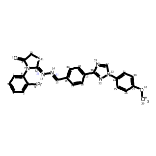 CC(C)c1ccccc1N1C(=O)CS/C1=N\N=C\c1ccc(-c2ncn(-c3ccc(OC(F)(F)F)cc3)n2)cc1